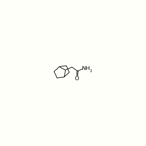 NC(=O)CC1C2CCC1CC2